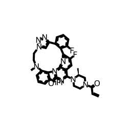 C=CC(=O)N1CCN(c2nc(=O)n3c4nc(c(F)cc24)-c2c(F)cccc2-c2cn(nn2)CCN(C)c2cccc(C(C)C)c2-3)[C@@H](C)C1